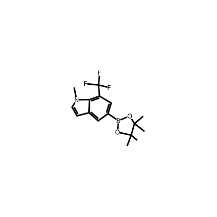 Cn1ccc2cc(B3OC(C)(C)C(C)(C)O3)cc(C(F)(F)F)c21